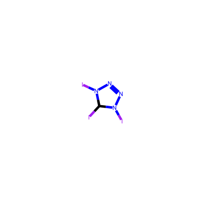 IC1N(I)N=NN1I